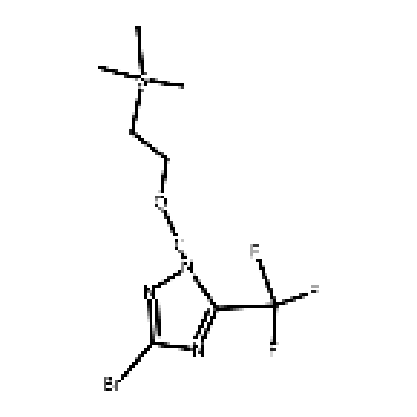 CS(C)(C)CCOCn1nc(Br)nc1C(F)(F)F